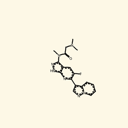 CN(C)CC(=O)N(C)c1n[nH]c2nc(-c3cnn4ccccc34)c(F)cc12